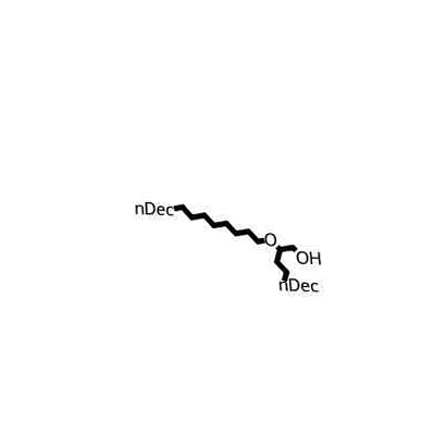 CCCCCCCCCCCCCCCCCCOC(CO)CCCCCCCCCCCC